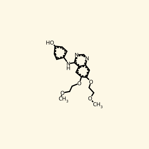 COCCOc1cc2ncnc(Nc3ccc(O)cc3)c2cc1OCCOC